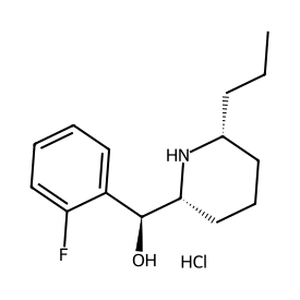 CCC[C@@H]1CCC[C@H]([C@@H](O)c2ccccc2F)N1.Cl